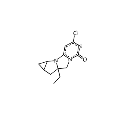 CCC12CC3CC3N1c1cc(Cl)nc(=O)n1C2